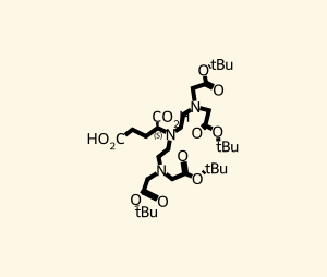 CC(C)(C)OC(=O)CN(CCN(CCN(CC(=O)OC(C)(C)C)CC(=O)OC(C)(C)C)[C@@H](CCC(=O)O)C(=O)O)CC(=O)OC(C)(C)C